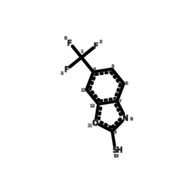 FC(F)(F)c1ccc2nc(S)oc2c1